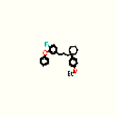 CCOc1ccc(C2(CCCc3ccc(F)c(Oc4ccccc4)c3)CCCCC2)cc1